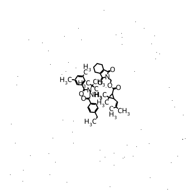 CC(C)=CC1C(C(=O)OCN2C(=O)C3=C(CCCC3)C2=O)C1(C)C.CCc1ccc(C(=O)NN(C(=O)c2cc(C)cc(C)c2)C(C)(C)C)cc1